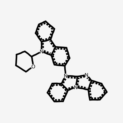 c1ccc2c(c1)nc1n(-c3ccc4c5ccccc5n(C5CCCCO5)c4c3)c3ccccc3n21